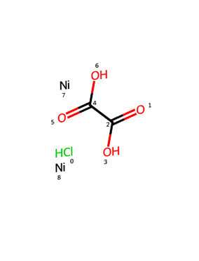 Cl.O=C(O)C(=O)O.[Ni].[Ni]